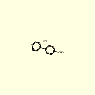 Cl.O=Cc1ccc(-c2ccncc2)cc1